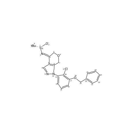 CC(C)(C)[S@+]([O-])N=C1COCc2c1cnn2-c1cccc(OCc2ccccc2)c1Cl